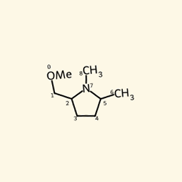 COCC1CCC(C)N1C